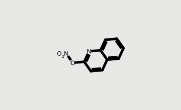 O=[N+]([O-])Oc1ccc2ccccc2n1